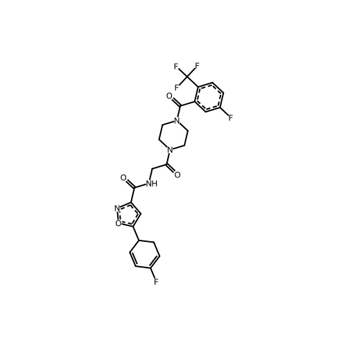 O=C(NCC(=O)N1CCN(C(=O)c2cc(F)ccc2C(F)(F)F)CC1)c1cc(C2C=CC(F)=CC2)on1